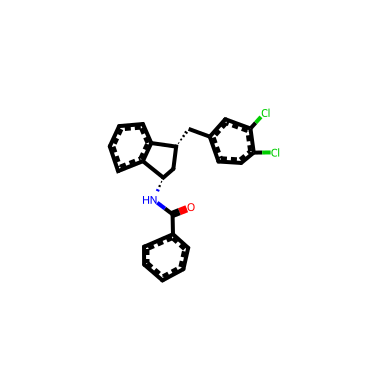 O=C(N[C@H]1C[C@@H](Cc2ccc(Cl)c(Cl)c2)c2ccccc21)c1ccccc1